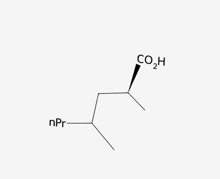 CCCC(C)C[C@H](C)C(=O)O